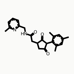 Cc1cc(C)c(C2C(=O)CC(CC(=O)NCc3cccc(C)n3)C2=O)c(C)c1